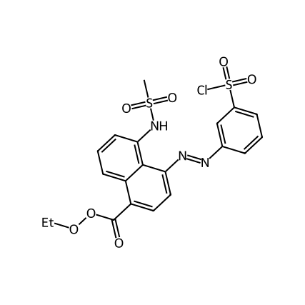 CCOOC(=O)c1ccc(N=Nc2cccc(S(=O)(=O)Cl)c2)c2c(NS(C)(=O)=O)cccc12